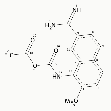 COc1ccc2ccc(C(=N)N)cc2c1NC(=O)OC(=O)C(F)(F)F